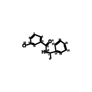 CC(NC(=O)c1cccc(Cl)c1)c1ccccc1